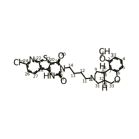 COc1cccc2c1[C@@H]1CN(CCCCn3c(=O)[nH]c4c(sc5nc(Cl)ccc54)c3=O)C[C@H]1CO2